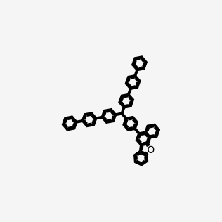 c1ccc(-c2ccc(-c3ccc(C(c4ccc(-c5ccc(-c6ccccc6)cc5)cc4)c4ccc(-c5cc6c7ccccc7oc6c6ccccc56)cc4)cc3)cc2)cc1